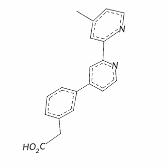 Cc1ccnc(-c2cc(-c3cccc(CC(=O)O)c3)ccn2)c1